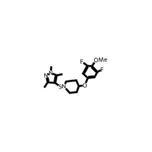 COc1c(F)cc(OC2CCN(Sc3c(C)nn(C)c3C)CC2)cc1F